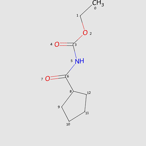 CCOC(=O)NC(=O)C1CCCC1